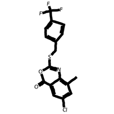 Cc1cc(Cl)cc2c(=O)oc(SCc3ccc(C(F)(F)F)cc3)nc12